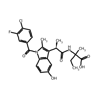 CCC(C)(NC(=O)[C@H](C)c1c(C)n(C(=O)c2ccc(Cl)c(F)c2)c2ccc(O)cc12)C(=O)O